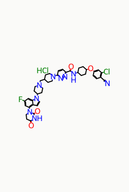 Cl.N#Cc1ccc(OC2CCC(NC(=O)c3ccc(N4CCC(CN5CCC(n6ccc7c(N8CCC(=O)NC8=O)cc(F)cc76)CC5)CC4)nn3)CC2)cc1Cl